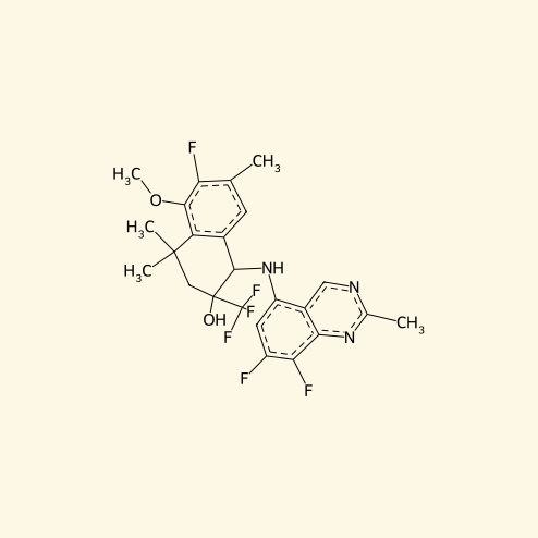 COc1c(F)c(C)cc2c1C(C)(C)CC(O)(C(F)(F)F)C2Nc1cc(F)c(F)c2nc(C)ncc12